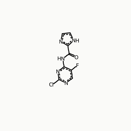 O=C(Nc1nc(Cl)ncc1F)c1ncc[nH]1